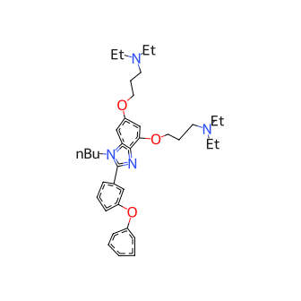 CCCCn1c(-c2cccc(Oc3ccccc3)c2)nc2c(OCCCN(CC)CC)cc(OCCCN(CC)CC)cc21